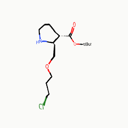 CC(C)(C)OC(=O)[C@H]1CCN[C@@H]1COCCCCl